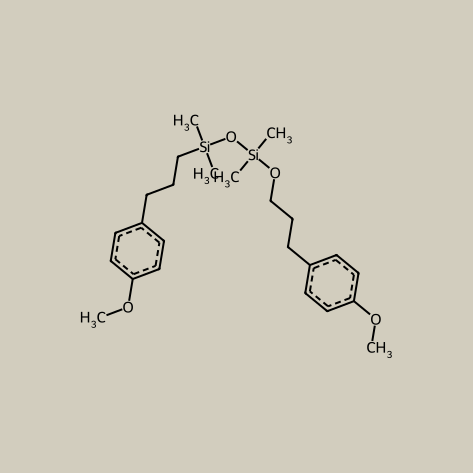 COc1ccc(CCCO[Si](C)(C)O[Si](C)(C)CCCc2ccc(OC)cc2)cc1